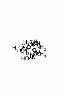 C=C(C)C(=O)Nc1ccc(-c2c(-c3ccc(Oc4ncc(CO)cn4)c(OC)c3)c3c(N)ncnc3n2C)cc1